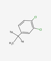 [2H]C([2H])(C)c1ccc(Cl)c(Cl)c1